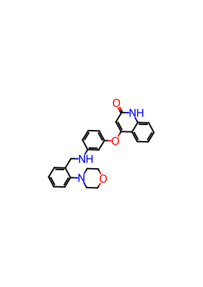 O=c1cc(Oc2cccc(NCc3ccccc3N3CCOCC3)c2)c2ccccc2[nH]1